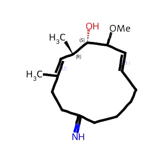 COC1/C=C/CCCCC(=N)CC/C(C)=C\[C@@H](C)[C@@H]1O